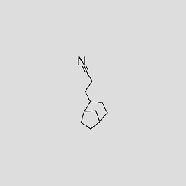 N#CCCC1CCC2CCC1C2